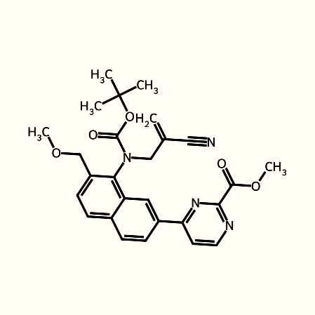 C=C(C#N)CN(C(=O)OC(C)(C)C)c1c(COC)ccc2ccc(-c3ccnc(C(=O)OC)n3)cc12